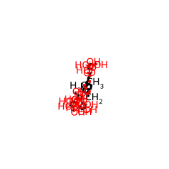 C=C1C[C@@]23CC[C@H](C)[C@@](C)(CCCCC(=O)O[C@@H]4O[C@H](CO)[C@@H](O)[C@H](O)[C@H]4O)[C@@H]2CC[C@]1(O[C@@H]1O[C@H](CO)[C@@H](O)[C@H](OC2O[C@H](CO)[C@@H](O)[C@H](O)[C@H]2O)[C@H]1OC1O[C@H](CO)[C@@H](O)[C@H](O)[C@H]1O)C3